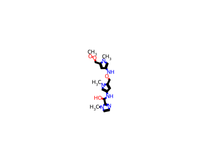 COOCc1cc(NOCc2cc(NC(O)c3nccn3C)cn2C)cn1C